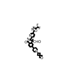 CN(Cc1ccc(-c2nnc(C(F)F)o2)cn1)C(=O)c1ccc(C2CCN(C3CC4(COC4)C3)CC2)cc1C(C)(C)C=O